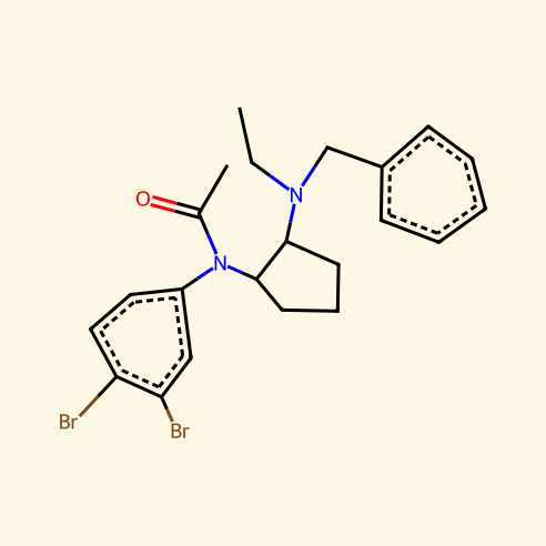 CCN(Cc1ccccc1)C1CCCC1N(C(C)=O)c1ccc(Br)c(Br)c1